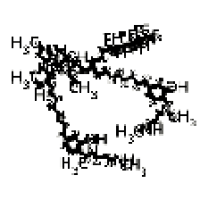 CCCC(CCC(CCCCCCCCc1ccc(C(C)NCCCNC)c(O)c1)[SiH2]C)[Si](C)(C)O[Si](C)(C)C(CCC)CCC(CCCCCCCCc1ccc(CN(C)CCCNC)c(O)c1)[SiH2]CCC(F)(F)C(F)(F)C(F)(F)C(F)(F)C(F)(F)C(F)(F)F